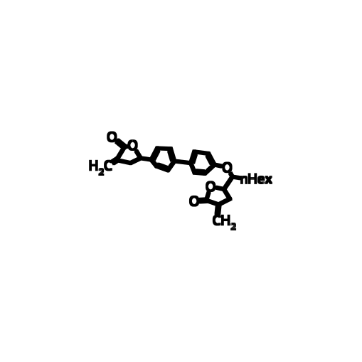 C=C1CC(c2ccc(-c3ccc(OC(CCCCCC)C4CC(=C)C(=O)O4)cc3)cc2)OC1=O